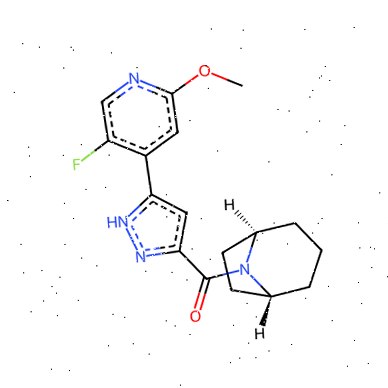 COc1cc(-c2cc(C(=O)N3[C@@H]4CCC[C@@H]3CC4)n[nH]2)c(F)cn1